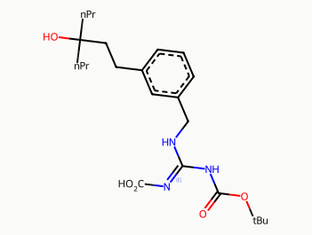 CCCC(O)(CCC)CCc1cccc(CN/C(=N\C(=O)O)NC(=O)OC(C)(C)C)c1